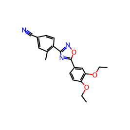 CCOc1ccc(-c2nc(-c3ccc(C#N)cc3C)no2)cc1OCC